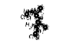 Nc1nc(Nc2ccc(Cl)c(Cl)c2)sc1-c1ccc(C(=O)c2ccc(-c3sc(Nc4ccc(Cl)c(Cl)c4)nc3N)c(OCc3ccccc3)c2)cc1OCc1ccccc1